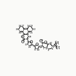 CCN(CC)c1ccc2cc(-c3ccc(-c4ccc(-c5cc6c7ccccc7c7ccccc7c6oc5=O)o4)o3)c(=O)oc2c1